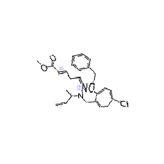 C=CC(C)N(CC1=CCC(Cl)=CC=C1OCc1ccccc1)/N=C\C/C=C/C(=O)OC